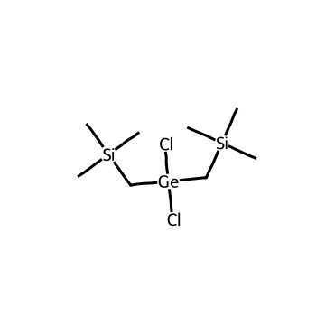 C[Si](C)(C)[CH2][Ge]([Cl])([Cl])[CH2][Si](C)(C)C